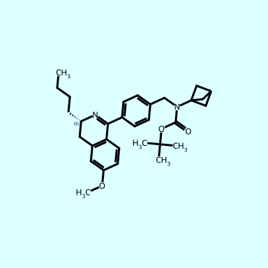 CCCC[C@H]1Cc2cc(OC)ccc2C(c2ccc(CN(C(=O)OC(C)(C)C)C34CC(C3)C4)cc2)=N1